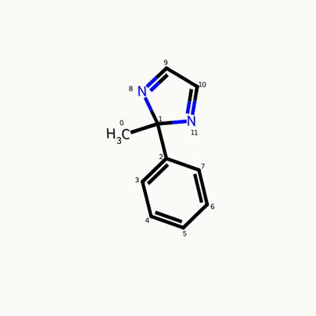 CC1(c2ccccc2)N=CC=N1